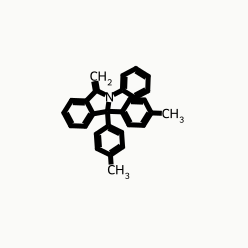 C=C1c2ccccc2C(c2ccc(C)cc2)(c2ccc(C)cc2)N1c1ccccc1